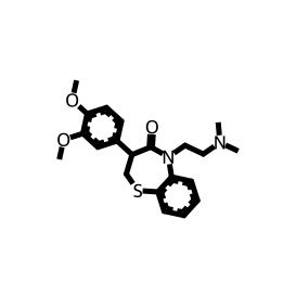 COc1ccc(C2CSc3ccccc3N(CCN(C)C)C2=O)cc1OC